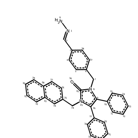 NN=Cc1ccc(Cn2c(-c3ccccc3)c(-c3ccccc3)n(Cc3ccc4ccccc4c3)c2=O)cc1